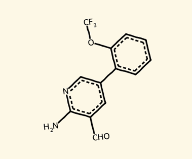 Nc1ncc(-c2ccccc2OC(F)(F)F)cc1C=O